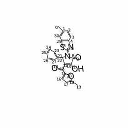 Cc1ccc2nc(N3C(=O)C(O)=C(C(=O)c4ccc(C)o4)C3c3ccccc3)sc2c1